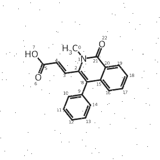 Cn1c(C=CC(=O)O)c(-c2ccccc2)c2ccccc2c1=O